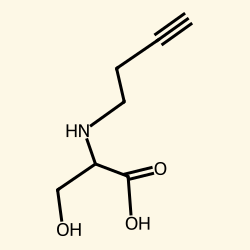 C#CCCNC(CO)C(=O)O